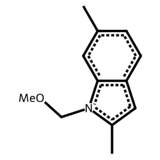 COCn1c(C)cc2ccc(C)cc21